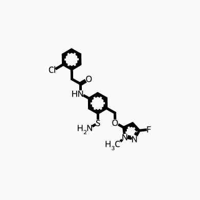 Cn1nc(F)cc1OCc1ccc(NC(=O)Cc2ccccc2Cl)cc1SN